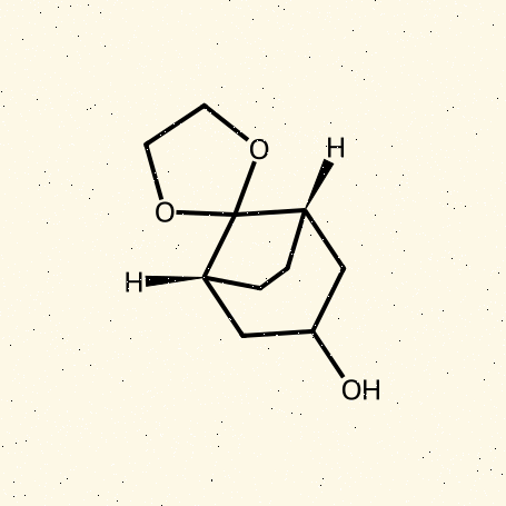 OC1C[C@H]2CC[C@@H](C1)C21OCCO1